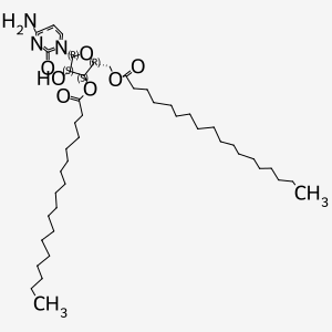 CCCCCCCCCCCCCCCCCC(=O)OC[C@H]1O[C@@H](n2ccc(N)nc2=O)[C@@H](O)[C@@H]1OC(=O)CCCCCCCCCCCCCCCCC